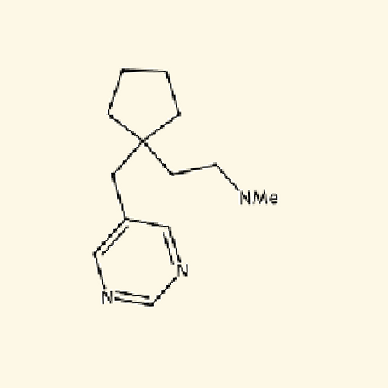 CNCCC1(Cc2cncnc2)CCCC1